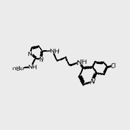 CCCCNc1nccc(NCCCNc2ccnc3cc(Cl)ccc23)n1